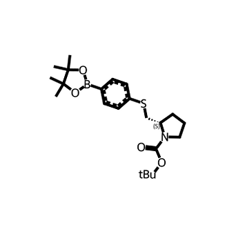 CC(C)(C)OC(=O)N1CCC[C@H]1CSc1ccc(B2OC(C)(C)C(C)(C)O2)cc1